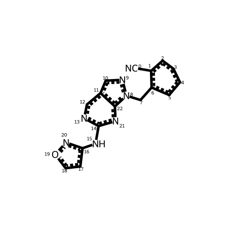 N#Cc1ccccc1Cn1ncc2cnc(Nc3ccon3)nc21